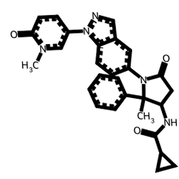 Cn1cc(-n2ncc3cc(N4C(=O)CC(NC(=O)C5CC5)C4(C)c4ccccc4)ccc32)ccc1=O